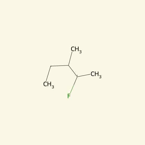 CCC(C)[C](C)F